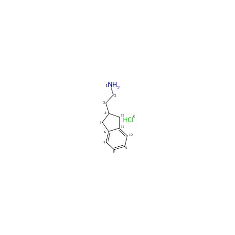 Cl.NCCC1Cc2ccccc2C1